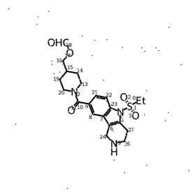 CCS(=O)(=O)n1c2c(c3cc(C(=O)N4CCC(COC=O)CC4)ccc31)CNCC2